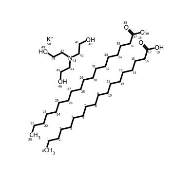 CCCCCCCCCCCCCCCCCC(=O)O.CCCCCCCCCCCCCCCCCC(=O)[O-].OCCN(CCO)CCO.[K+]